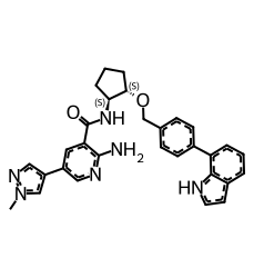 Cn1cc(-c2cnc(N)c(C(=O)N[C@H]3CCC[C@@H]3OCc3ccc(-c4cccc5cc[nH]c45)cc3)c2)cn1